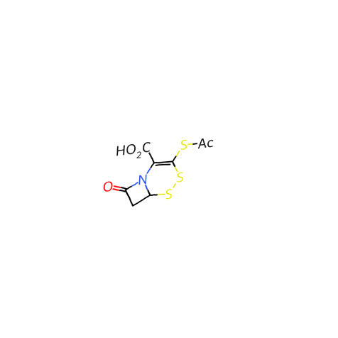 CC(=O)SC1=C(C(=O)O)N2C(=O)CC2SS1